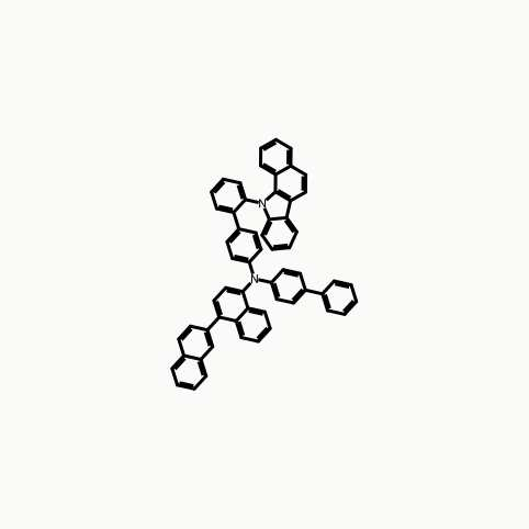 c1ccc(-c2ccc(N(c3ccc(-c4ccccc4-n4c5ccccc5c5ccc6ccccc6c54)cc3)c3ccc(-c4ccc5ccccc5c4)c4ccccc34)cc2)cc1